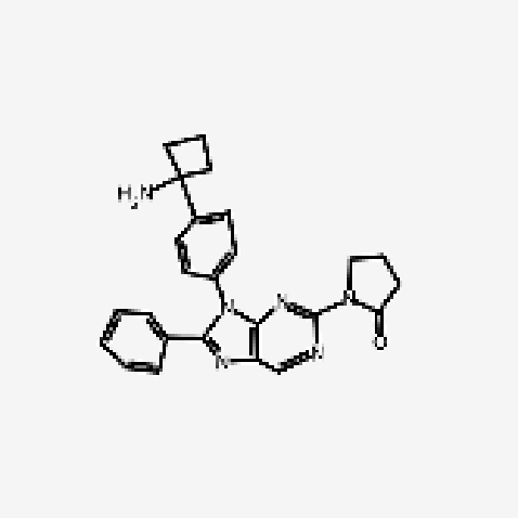 NC1(c2ccc(-n3c(-c4ccccc4)nc4cnc(N5CCCC5=O)nc43)cc2)CCC1